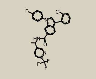 CC(NC(=O)c1ccc2c(-c3ccccc3Cl)cn(-c3ccc(F)cc3)c2c1)c1ccc(C(F)(F)F)nc1